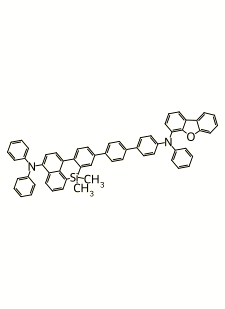 C[Si]1(C)c2cc(-c3ccc(-c4ccc(N(c5ccccc5)c5cccc6c5oc5ccccc56)cc4)cc3)ccc2-c2ccc(N(c3ccccc3)c3ccccc3)c3cccc1c23